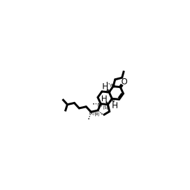 CCC[C@@]1(C)C(=O)C=C[C@H]2[C@@H]3CC[C@H]([C@H](C)CCCC(C)C)[C@@]3(C)CC[C@@H]21